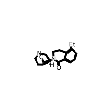 CCc1cccc2c1CCN([C@@H]1CN3CCC1CC3)C2=O